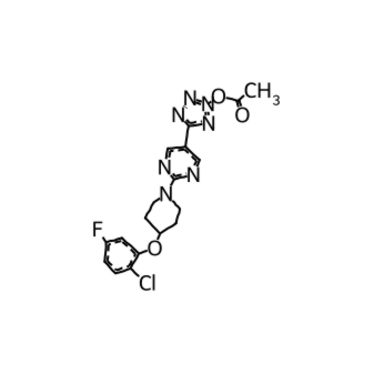 CC(=O)On1nnc(-c2cnc(N3CCC(Oc4cc(F)ccc4Cl)CC3)nc2)n1